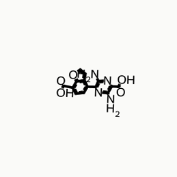 Nc1nc(-c2ccc(C(=O)O)c3occc23)c(N)nc1C(=O)O